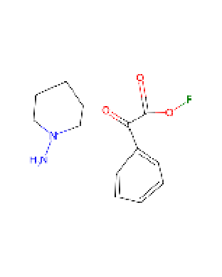 NN1CCCCC1.O=C(OF)C(=O)c1ccccc1